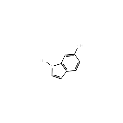 Oc1ccc2ccn(O)c2c1